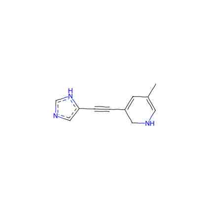 CC1=CNCC(C#Cc2cnc[nH]2)=C1